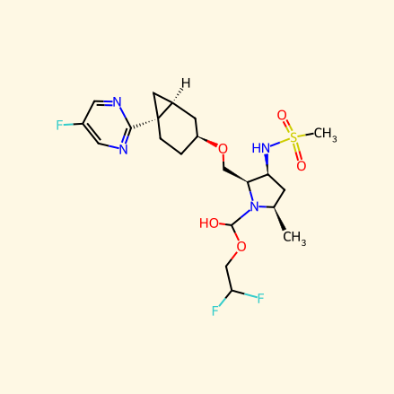 C[C@@H]1C[C@H](NS(C)(=O)=O)[C@H](CO[C@H]2CC[C@@]3(c4ncc(F)cn4)C[C@H]3C2)N1C(O)OCC(F)F